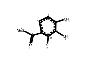 CSC(=O)c1ccc(C)c(C)c1Cl